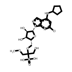 COCC(CO)(OC[C@H]1O[C@@H](n2ncc3c(NC4CCCC4)cc(Cl)nc32)[C@H](O)[C@@H]1O)P(=O)(O)O